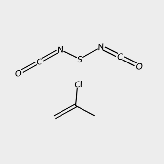 C=C(C)Cl.O=C=NSN=C=O